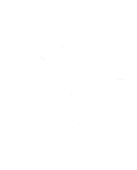 COc1ccc(C)c(NS(=O)(=O)c2c(OCC(F)(F)F)ncnc2OCC(F)(F)F)c1